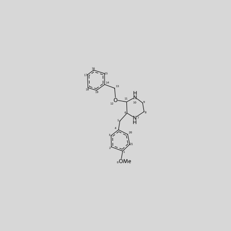 COc1ccc(CC2NCCNC2OCc2ccccc2)cc1